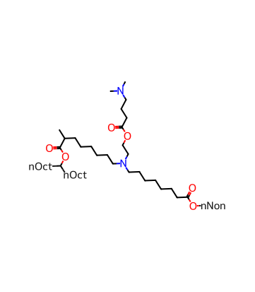 CCCCCCCCCOC(=O)CCCCCCCN(CCCCCCC(C)C(=O)OC(CCCCCCCC)CCCCCCCC)CCOC(=O)CCCN(C)C